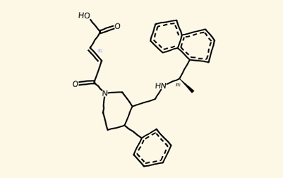 C[C@@H](NCC1CN(C(=O)/C=C/C(=O)O)CCC1c1ccccc1)c1cccc2ccccc12